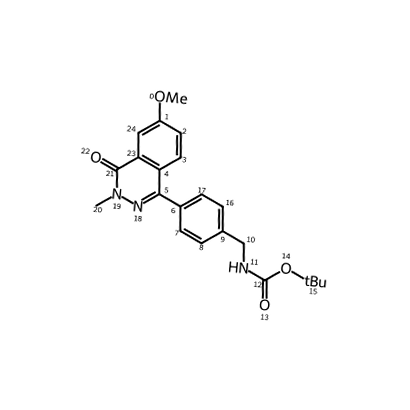 COc1ccc2c(-c3ccc(CNC(=O)OC(C)(C)C)cc3)nn(C)c(=O)c2c1